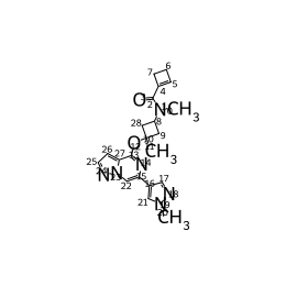 CN(C(=O)C1=CCC1)C1CC(C)(Oc2nc(-c3cnn(C)c3)cn3nccc23)C1